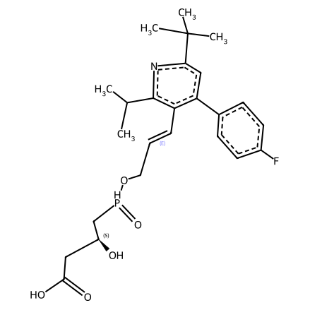 CC(C)c1nc(C(C)(C)C)cc(-c2ccc(F)cc2)c1/C=C/CO[PH](=O)C[C@@H](O)CC(=O)O